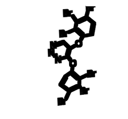 Brc1ccc(Oc2cnnnc2Oc2ccc(Br)c(Br)c2Br)c(Br)c1Br